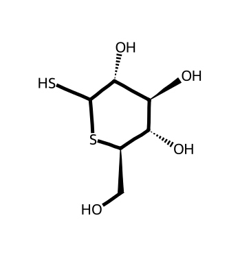 OC[C@H]1SC(S)[C@H](O)[C@@H](O)[C@@H]1O